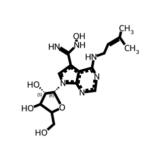 CC(C)=CCNc1ncnc2c1c(C(=N)NO)cn2[C@@H]1OC(CO)C(O)[C@@H]1O